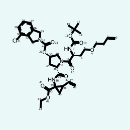 C=CCCOCC[C@H](NC(=O)OC(C)(C)C)C(=O)N1C[C@H](OC(=O)N2Cc3cccc(Cl)c3C2)C[C@H]1C(=O)NC1(C(=O)OCC)CC1C=C